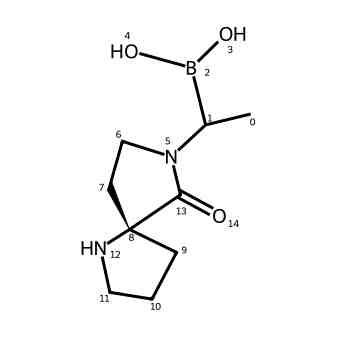 CC(B(O)O)N1CC[C@]2(CCCN2)C1=O